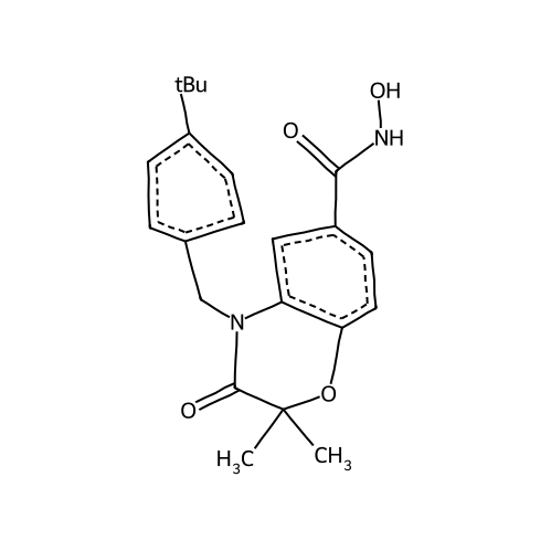 CC1(C)Oc2ccc(C(=O)NO)cc2N(Cc2ccc(C(C)(C)C)cc2)C1=O